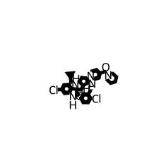 O=C(c1ccn2c3c(nc2c1)[C@@H]1[C@@H](C3)N(CC2CC2)[C@@]2(C(=O)Nc3cc(Cl)ccc32)[C@H]1c1cccc(Cl)c1F)N1CCCCC1